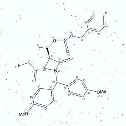 C=C(CI)[C@@H]1[C@@H](C(C)OC(=O)OCc2ccccc2)C(=O)N1C(c1ccc(OC)cc1)c1ccc(OC)cc1